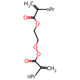 C=C(CCC)C(=O)OCCOOC(=O)C(=C)CCC